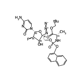 C[C@H](NP(=O)(OC[C@@]1(N=[N+]=[N-])O[C@@H](n2ccc(N)nc2=O)[C@H](F)[C@@H]1O)Oc1cccc2ccccc12)C(=O)OCC(C)(C)C